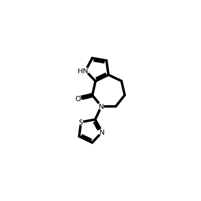 O=C1c2[nH]ccc2CCCN1c1nccs1